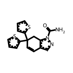 NC(=O)n1n[c]c2c1CC(c1cccs1)(c1cccs1)C=C2